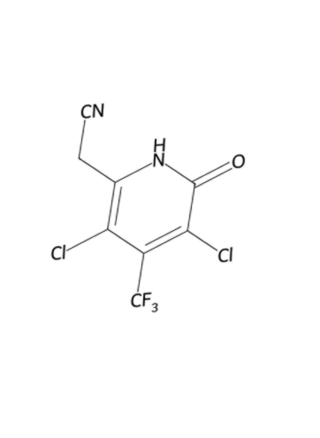 N#CCc1[nH]c(=O)c(Cl)c(C(F)(F)F)c1Cl